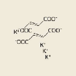 O=C([O-])/C=C/C(=O)[O-].O=C([O-])/C=C/C(=O)[O-].[K+].[K+].[K+].[K+]